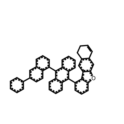 C1=Cc2cc3oc4cccc(-c5c6ccccc6c(-c6cccc7cc(-c8ccccc8)ccc67)c6ccccc56)c4c3cc2CC1